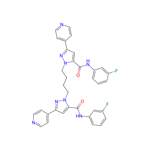 O=C(Nc1cccc(F)c1)c1cc(-c2ccncc2)nn1CCCCn1nc(-c2ccncc2)cc1C(=O)Nc1cccc(F)c1